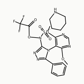 COc1ncnc(OC)c1-n1c(-c2ccccc2)nnc1N(OC(=O)C(F)(F)F)S(=O)(=O)[C@H]1CCCNC1